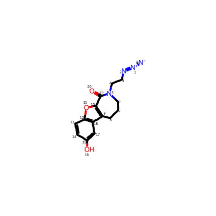 [N-]=[N+]=NCCN1CCCc2c(oc3ccc(O)cc23)C1=O